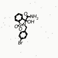 NC(=O)C1(O)c2ccccc2S(=O)(=O)N1Cc1ccc(Br)cc1